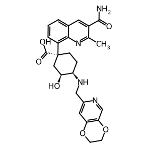 Cc1nc2c([C@@]3(C(=O)O)CC[C@@H](NCc4cc5c(cn4)OCCO5)[C@@H](O)C3)cccc2cc1C(N)=O